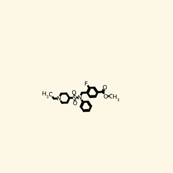 CCN1CCC(S(=O)(=O)N(Cc2ccc(C(=O)OC)cc2F)c2ccccc2)CC1